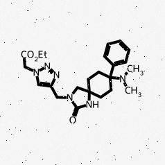 CCOC(=O)Cn1cc(CN2CC3(CCC(c4ccccc4)(N(C)C)CC3)NC2=O)nn1